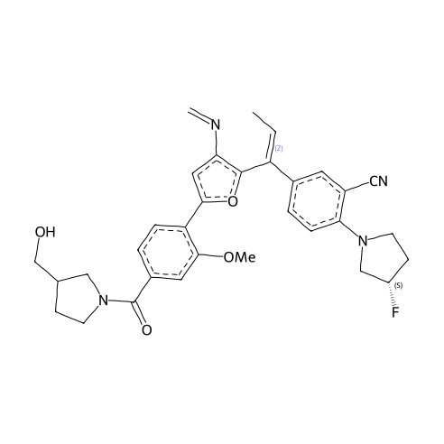 C=Nc1cc(-c2ccc(C(=O)N3CCC(CO)C3)cc2OC)oc1/C(=C\C)c1ccc(N2CC[C@H](F)C2)c(C#N)c1